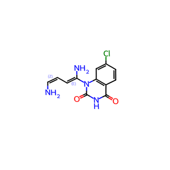 N/C=C\C=C(/N)n1c(=O)[nH]c(=O)c2ccc(Cl)cc21